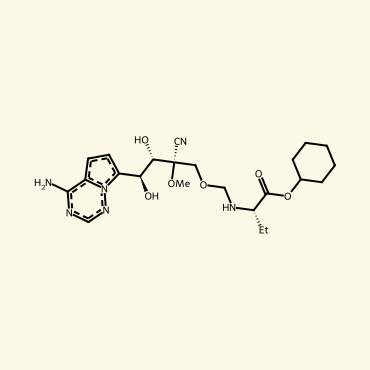 CC[C@H](NCOC[C@@](C#N)(OC)[C@@H](O)[C@@H](O)c1ccc2c(N)ncnn12)C(=O)OC1CCCCC1